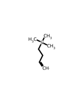 [CH]=CCC[Si](C)(C)C